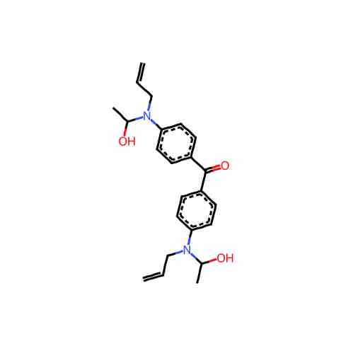 C=CCN(c1ccc(C(=O)c2ccc(N(CC=C)C(C)O)cc2)cc1)C(C)O